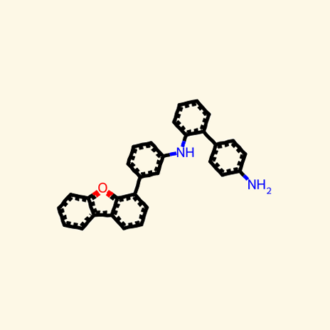 Nc1ccc(-c2ccccc2Nc2cccc(-c3cccc4c3oc3ccccc34)c2)cc1